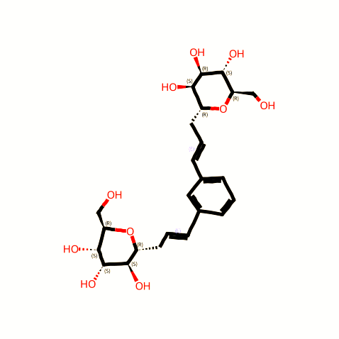 OC[C@H]1O[C@H](C/C=C/c2cccc(/C=C/C[C@H]3O[C@H](CO)[C@@H](O)[C@H](O)[C@@H]3O)c2)[C@@H](O)[C@H](O)[C@@H]1O